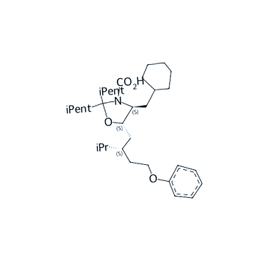 CCCC(C)C1(C(C)CCC)O[C@@H](C[C@H](CCOc2ccccc2)C(C)C)[C@H](CC2CCCCC2)N1C(=O)O